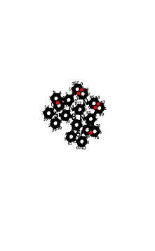 c1ccc(-c2cc(-c3ccccc3)cc(N3c4cc([Si](c5ccccc5)(c5ccccc5)c5ccccc5)ccc4B4c5ccc([Si](c6ccccc6)(c6ccccc6)c6ccccc6)cc5N(c5cc(-c6ccccc6)cc(-c6ccccc6)c5)c5cc(N(c6ccccc6)c6ccccc6)cc3c54)c2)cc1